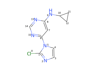 Clc1nccn1-c1cc(NC2CC2)ncn1